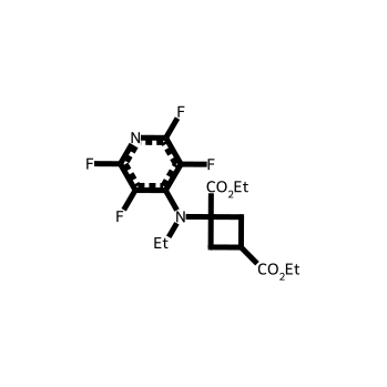 CCOC(=O)C1CC(C(=O)OCC)(N(CC)c2c(F)c(F)nc(F)c2F)C1